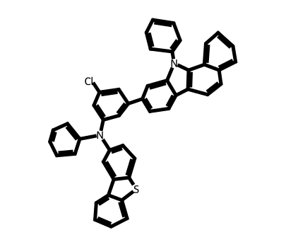 Clc1cc(-c2ccc3c4ccc5ccccc5c4n(-c4ccccc4)c3c2)cc(N(c2ccccc2)c2ccc3sc4ccccc4c3c2)c1